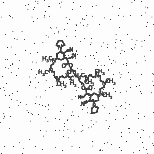 CN(C)CCN(C)CCN(C)CCN(C)C1CC(N2CCCC2)=C(C#N)/C(=C(\C#N)C(=O)OCCCCCCOC(=O)/C(C#N)=C2\CC(N(C)CCN(C)CCN(C)CCN(C)C)CC(N3CCCC3)=C2C#N)C1